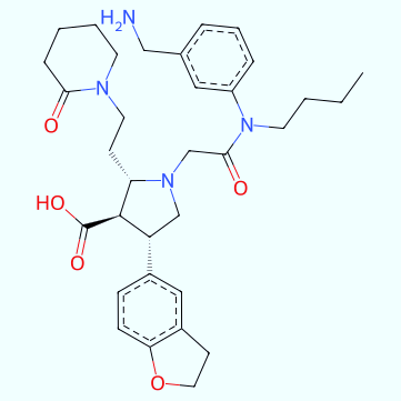 CCCCN(C(=O)CN1C[C@H](c2ccc3c(c2)CCO3)[C@@H](C(=O)O)[C@@H]1CCN1CCCCC1=O)c1cccc(CN)c1